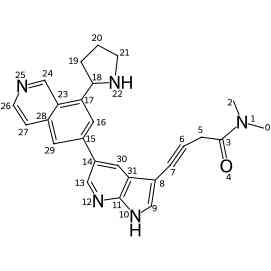 CN(C)C(=O)CC#Cc1c[nH]c2ncc(-c3cc(C4CCCN4)c4cnccc4c3)cc12